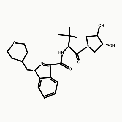 CC(C)(C)[C@H](NC(=O)c1nn(CC2CCOCC2)c2ccccc12)C(=O)N1CC(O)[C@H](O)C1